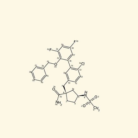 CS(=O)(=O)N[C@H]1CC[C@](Cc2ccc(Cl)c(-c3cc(F)cc(F)c3OCc3ccccc3)c2)(C(N)=O)C1